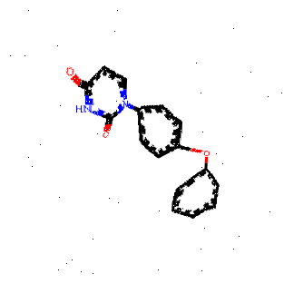 O=c1ccn(-c2ccc(Oc3ccccc3)cc2)c(=O)[nH]1